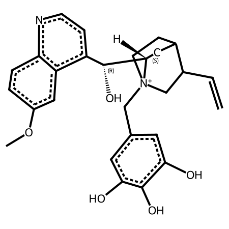 C=CC1C[N+]2(Cc3cc(O)c(O)c(O)c3)CCC1C[C@H]2[C@H](O)c1ccnc2ccc(OC)cc12